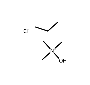 CCC.C[N+](C)(C)O.[Cl-]